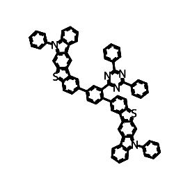 c1ccc(-c2nc(-c3ccccc3)nc(-c3cc(-c4ccc5sc6cc7c(cc6c5c4)c4ccccc4n7-c4ccccc4)ccc3-c3ccc4sc5cc6c(cc5c4c3)c3ccccc3n6-c3ccccc3)n2)cc1